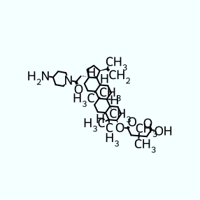 C=C(C)[C@@H]1CC[C@]2(CC(=O)N3CCC(N)CC3)CC[C@]3(C)[C@H](CC[C@@H]4[C@@]5(C)CC[C@H](OC(=O)CC(C)(C)CC(=O)O)C(C)(C)[C@@H]5CC[C@]43C)[C@@H]12